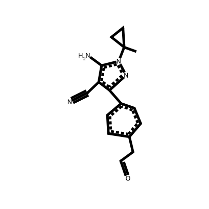 CC1(n2nc(-c3ccc(CC=O)cc3)c(C#N)c2N)CC1